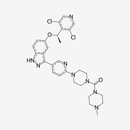 C[C@@H](Oc1ccc2[nH]nc(-c3ccc(N4CCN(C(=O)N5CCN(C)CC5)CC4)nc3)c2c1)c1c(Cl)cncc1Cl